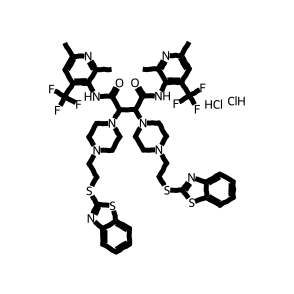 Cc1cc(C(F)(F)F)c(NC(=O)C(C(C(=O)Nc2c(C(F)(F)F)cc(C)nc2C)N2CCN(CCSc3nc4ccccc4s3)CC2)N2CCN(CCSc3nc4ccccc4s3)CC2)c(C)n1.Cl.Cl